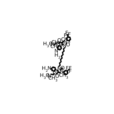 CC1=C(C(=O)OCCN(C)C)[C@@H](c2ccc(N)cc2)N(CCCCCCCCCCCCN2C(=O)N(c3cccc(C(F)(F)F)c3)C(C)=C(C(=O)OCC[N+](C)(C)C)[C@H]2c2ccc(N)cc2)C(=O)N1c1cccc(C(F)(F)F)c1